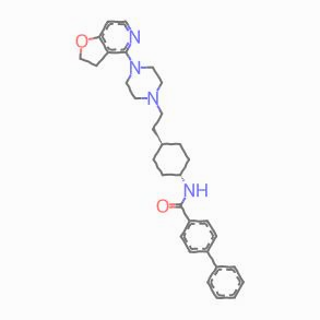 O=C(N[C@H]1CC[C@H](CCN2CCN(c3nccc4c3CCO4)CC2)CC1)c1ccc(-c2ccccc2)cc1